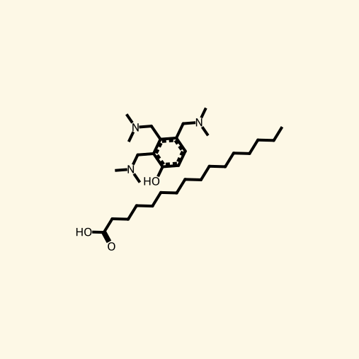 CCCCCCCCCCCCCCCC(=O)O.CN(C)Cc1ccc(O)c(CN(C)C)c1CN(C)C